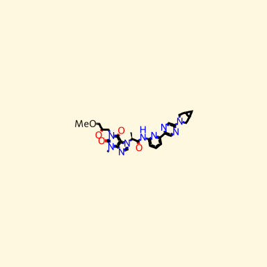 COCC(=O)Cn1c(=O)c2c(ncn2[C@@H](C)C(=O)Nc2cccc(-c3cnc(N4CC5CC5C4)cn3)n2)n(C)c1=O